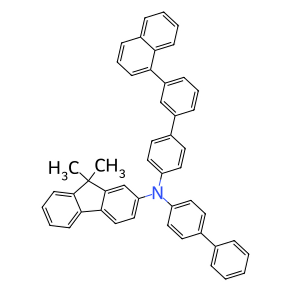 CC1(C)c2ccccc2-c2ccc(N(c3ccc(-c4ccccc4)cc3)c3ccc(-c4cccc(-c5cccc6ccccc56)c4)cc3)cc21